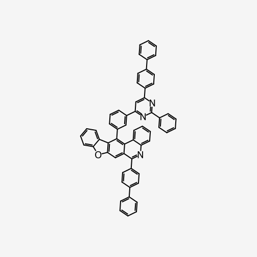 c1ccc(-c2ccc(-c3cc(-c4cccc(-c5c6c(cc7c(-c8ccc(-c9ccccc9)cc8)nc8ccccc8c57)oc5ccccc56)c4)nc(-c4ccccc4)n3)cc2)cc1